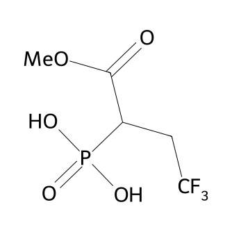 COC(=O)C(CC(F)(F)F)P(=O)(O)O